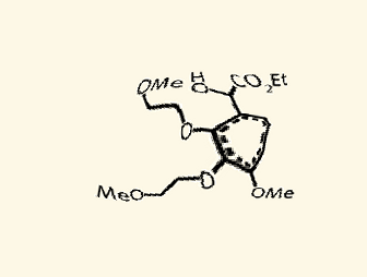 CCOC(=O)C(O)c1ccc(OC)c(OCCOC)c1OCCOC